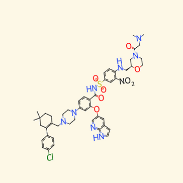 CN(C)CC(=O)N1CCO[C@@H](CNc2ccc(S(=O)(=O)NC(=O)c3ccc(N4CCN(CC5=C(c6ccc(Cl)cc6)CC(C)(C)CC5)CC4)cc3Oc3cnc4[nH]ccc4c3)cc2[N+](=O)[O-])C1